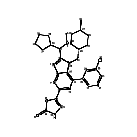 COC(c1nc2nc(-c3n[nH]c(=O)o3)nc(-c3cncc(Cl)c3)c2n1C[C@H]1CC[C@H](C)CC1)C1CCCC1